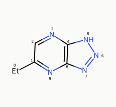 CCc1cnc2[nH]nnc2n1